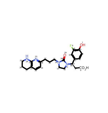 O=C(O)C[C@H](c1ccc(O)c(F)c1)N1CCN(CCCc2ccc3c(n2)NCCC3)C1=O